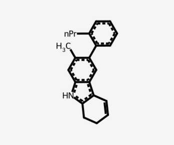 CCCc1ccccc1-c1cc2c3c([nH]c2cc1C)CCC=C3